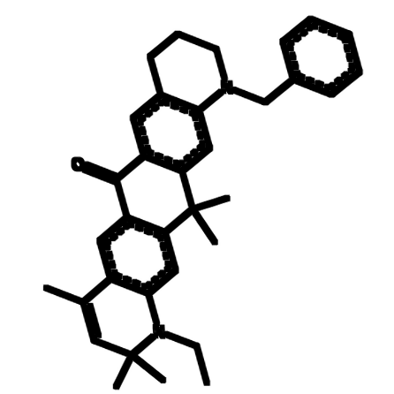 CCN1c2cc3c(cc2C(C)=CC1(C)C)C(=O)c1cc2c(cc1C3(C)C)N(Cc1ccccc1)CCC2